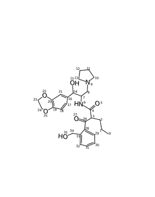 CCCC(C(=O)NC(CN1CCCC1)C(O)c1ccc2c(c1)OCCO2)C(=O)c1ccccc1CO